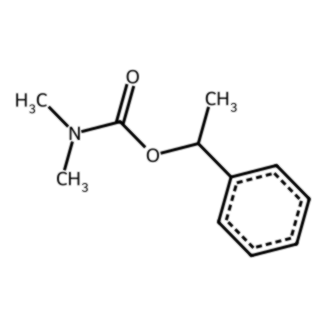 CC(OC(=O)N(C)C)c1ccccc1